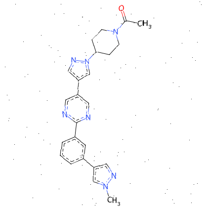 CC(=O)N1CCC(n2cc(-c3cnc(-c4cccc(-c5cnn(C)c5)c4)nc3)cn2)CC1